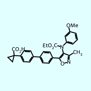 CCOC(=O)N(c1cccc(OC)c1)c1c(C)noc1-c1ccc(-c2ccc(C3(C(=O)O)CC3)cc2)cc1